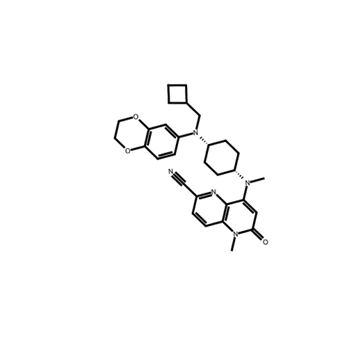 Cn1c(=O)cc(N(C)[C@H]2CC[C@@H](N(CC3CCC3)c3ccc4c(c3)OCCO4)CC2)c2nc(C#N)ccc21